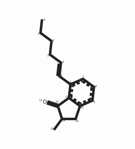 CCCCC=Cc1cccc2c1C(=O)C(C)C2